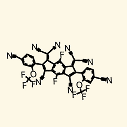 N#CC(C#N)=C1C(c2ccc(C#N)cc2OC(F)(F)F)=C(C#N)c2c(F)c3c(c(F)c21)C(=C(C#N)C#N)C(c1ccc(C#N)cc1OC(F)(F)F)=C3C#N